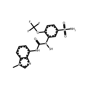 Cn1cnc2c(NC(=O)N(S)c3cc(S(N)(=O)=O)ccc3OC(F)(F)F)cccc21